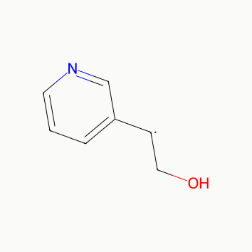 OC[CH]c1cccnc1